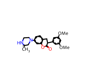 COc1cc(OC)cc(C2Cc3ccc(N4CCN[C@H](C)C4)cc3OC2=O)c1